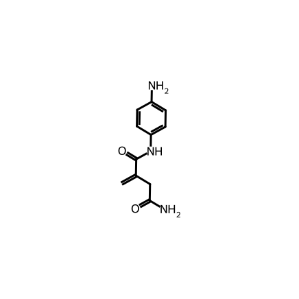 C=C(CC(N)=O)C(=O)Nc1ccc(N)cc1